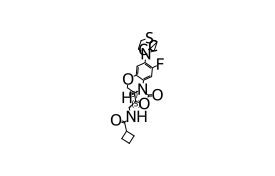 O=C(NC[C@@H]1OC(=O)N2c3cc(F)c(N4CC5CCCC4CS5)cc3OC[C@@H]12)C1CCC1